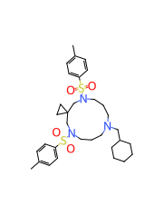 Cc1ccc(S(=O)(=O)N2CCCN(CC3CCCCC3)CCCN(S(=O)(=O)c3ccc(C)cc3)CC3(CC3)C2)cc1